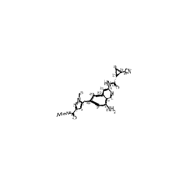 CNC(=O)c1cc(-c2cc(N)c3cnc(NC(=O)[C@@H]4C[C@H]4C#N)cc3c2)n(C)n1